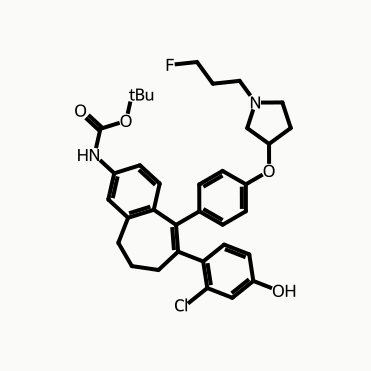 CC(C)(C)OC(=O)Nc1ccc2c(c1)CCCC(c1ccc(O)cc1Cl)=C2c1ccc(OC2CCN(CCCF)C2)cc1